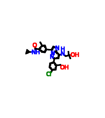 Cc1cc(-c2cnc3c(NCC(C)(C)O)cc(-c4ccc(Cl)cc4CO)nn23)ccc1C(=O)NC1CC1